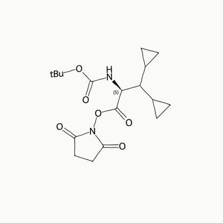 CC(C)(C)OC(=O)N[C@H](C(=O)ON1C(=O)CCC1=O)C(C1CC1)C1CC1